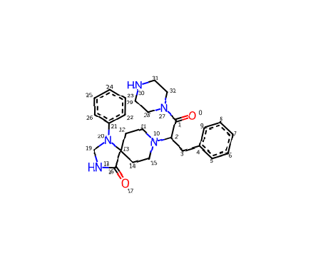 O=C(C(Cc1ccccc1)N1CCC2(CC1)C(=O)NCN2c1ccccc1)N1CCNCC1